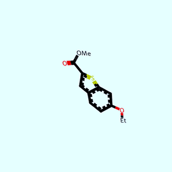 CCOc1ccc2cc(C(=O)OC)sc2c1